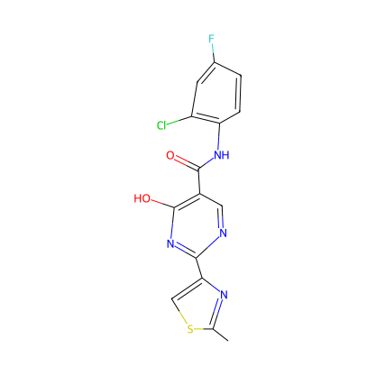 Cc1nc(-c2ncc(C(=O)Nc3ccc(F)cc3Cl)c(O)n2)cs1